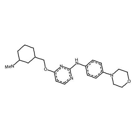 CNC1CCCC(COc2ccnc(Nc3ccc(N4CCOCC4)cc3)n2)C1